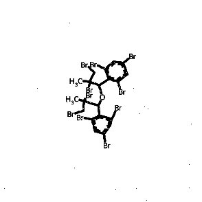 CC(Br)(CBr)C(OC(c1c(Br)cc(Br)cc1Br)C(C)(Br)CBr)c1c(Br)cc(Br)cc1Br